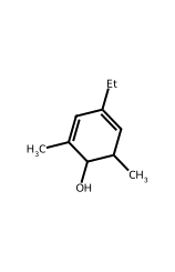 CCC1=CC(C)C(O)C(C)=C1